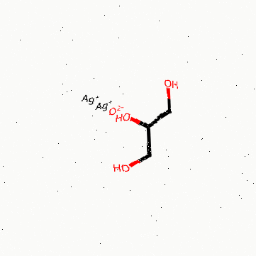 OCC(O)CO.[Ag+].[Ag+].[O-2]